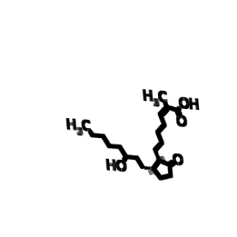 CCCCCC(O)CC[C@H]1CCC(=O)[C@@H]1CCCCC=C(C)C(=O)O